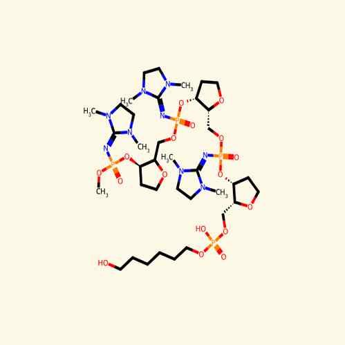 COP(=O)(N=C1N(C)CCN1C)O[C@@H]1CCOC1COP(=O)(N=C1N(C)CCN1C)O[C@@H]1CCO[C@@H]1COP(=O)(N=C1N(C)CCN1C)O[C@@H]1CCO[C@@H]1COP(=O)(O)OCCCCCCO